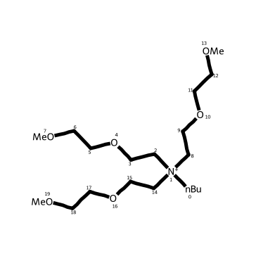 CCCC[N+](CCOCCOC)(CCOCCOC)CCOCCOC